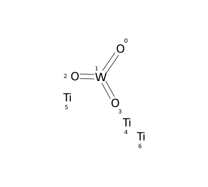 [O]=[W](=[O])=[O].[Ti].[Ti].[Ti]